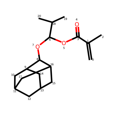 C=C(C)C(=O)OC(OC1C2CC3CC(C2)CC1C3)C(C)C